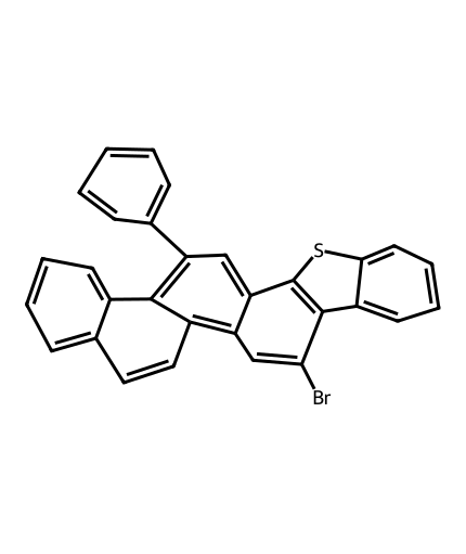 Brc1cc2c(cc(-c3ccccc3)c3c4ccccc4ccc23)c2sc3ccccc3c12